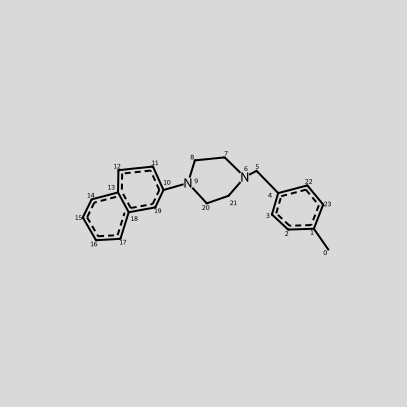 Cc1ccc(CN2CCN(c3ccc4ccccc4c3)CC2)cc1